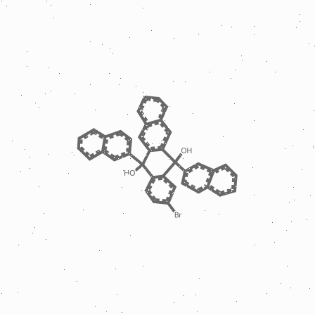 OC1(c2ccc3ccccc3c2)c2ccc(Br)cc2C(O)(c2ccc3ccccc3c2)c2cc3ccccc3cc21